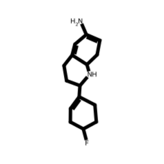 NC1=CCC2NC(C3=CCC(F)CC3)CCC2=C1